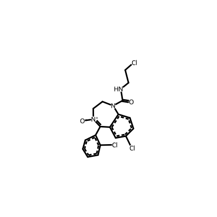 O=C(NCCCl)N1CC[N+]([O-])=C(c2ccccc2Cl)c2cc(Cl)ccc21